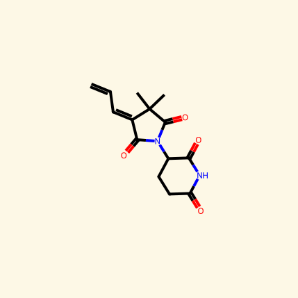 C=C/C=C1/C(=O)N(C2CCC(=O)NC2=O)C(=O)C1(C)C